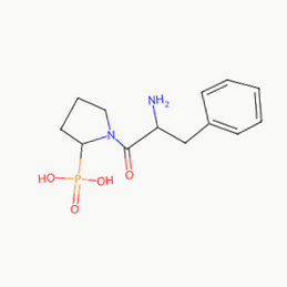 NC(Cc1ccccc1)C(=O)N1CCCC1P(=O)(O)O